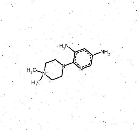 C[N+]1(C)CCN(c2ncc(N)cc2N)CC1